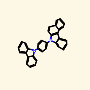 c1ccc2c(c1)ccc1c2c2ccccc2n1-c1ccc(-n2c3ccccc3c3ccccc32)cc1